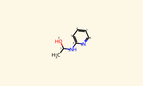 CC(O)Nc1ccccn1